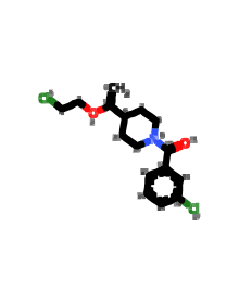 C=C(OCCCl)C1CCN(C(=O)c2cccc(Cl)c2)CC1